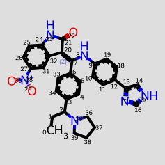 CCC(c1ccc(/C(Nc2ccc(-c3c[nH]cn3)cc2)=C2/C(=O)Nc3ccc([N+](=O)[O-])cc32)cc1)N1CCCC1